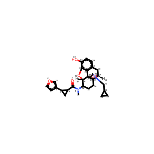 CN(C(=O)C1CC1c1ccoc1)C1CC[C@@]2(O)[C@H]3Cc4ccc(O)c5c4[C@@]2(CCN3CC2CC2)[C@H]1O5